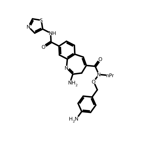 CCCN(OCc1ccc(N)cc1)C(=O)C1=Cc2ccc(C(=O)Nc3cncs3)cc2N=C(N)C1